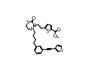 COC(=O)c1ccc(CCN2C(=O)SCCN2CCCCc2cccc(C#Cc3ccsc3)c2)s1